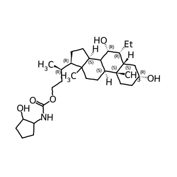 CC[C@H]1[C@@H](O)C2[C@@H]3CC[C@H]([C@H](C)CCOC(=O)NC4CCCC4O)C3(C)CC[C@@H]2[C@@]2(C)CC[C@@H](O)C[C@@H]12